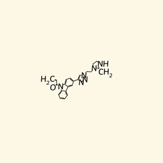 C=CC(=O)n1c2ccccc2c2cc(-c3cn(CCN4CCNC4=C)nn3)ccc21